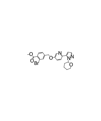 COC(=O)c1ccc(COc2ccc(-c3ccnn3C3CCCCO3)nc2)cc1Br